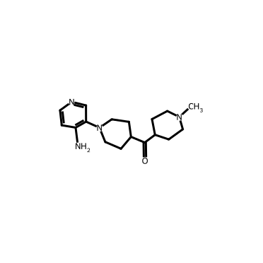 CN1CCC(C(=O)C2CCN(c3cnccc3N)CC2)CC1